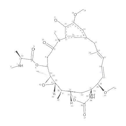 CN[C@@H](C)C(=O)OC1CC(=O)N(C)c2cc(cc(OC)c2Cl)C/C(C)=C/C=C/[C@@H](OC)[C@@]2(O)C[C@H](OC(=O)N2)[C@@H](C)[C@@H]2O[C@@]12C